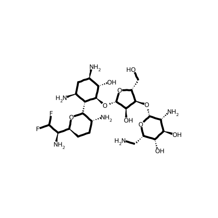 NC[C@@H]1O[C@H](O[C@H]2[C@@H](O)[C@H](O[C@@H]3[C@@H](O)[C@H](N)C[C@H](N)[C@H]3C3O[C@H]([C@@H](N)C(F)F)CC[C@H]3N)O[C@@H]2CO)[C@H](N)[C@@H](O)[C@@H]1O